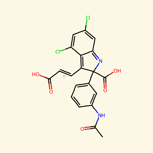 CC(=O)Nc1cccc(C2(C(=O)O)N=c3cc(Cl)cc(Cl)c3=C2/C=C/C(=O)O)c1